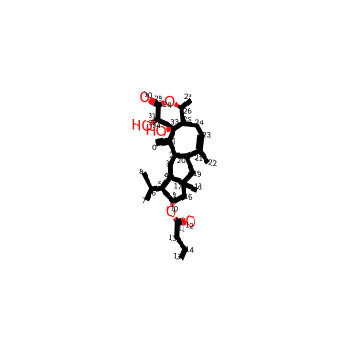 C=C1C2CC3C(C(C)C)C(OC(=O)CCC)CC3(C)CC2/C(C)=C\CC2C(C)OC(=O)C(O)C12O